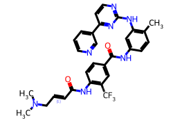 Cc1ccc(NC(=O)c2ccc(NC(=O)/C=C/CN(C)C)c(C(F)(F)F)c2)cc1Nc1nccc(-c2cccnc2)n1